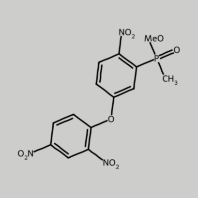 COP(C)(=O)c1cc(Oc2ccc([N+](=O)[O-])cc2[N+](=O)[O-])ccc1[N+](=O)[O-]